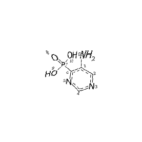 Nc1cncnc1P(=O)(O)O